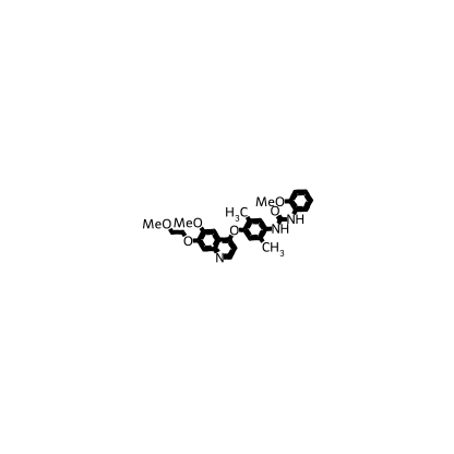 COCCOc1cc2nccc(Oc3cc(C)c(NC(=O)Nc4ccccc4OC)cc3C)c2cc1OC